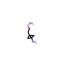 NOCCC12CC1(N)C2